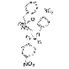 O=[N+]([O-])c1ccc(OP(=O)(CNS(=O)(=O)Cc2ccccc2)Oc2ccc([N+](=O)[O-])cc2)cc1